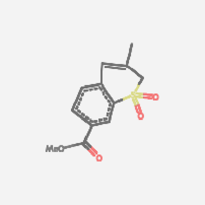 COC(=O)c1ccc2c(c1)S(=O)(=O)CC(C)=C2